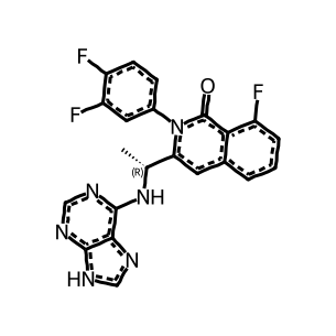 C[C@@H](Nc1ncnc2[nH]cnc12)c1cc2cccc(F)c2c(=O)n1-c1ccc(F)c(F)c1